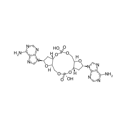 Nc1ncnc2c1ncn2[C@H]1C[C@@H]2OP(=O)(O)OC[C@H]3O[C@@H](n4cnc5c(N)ncnc54)C[C@@H]3OP(=O)(O)OC[C@H]2O1